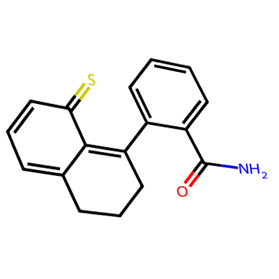 NC(=O)c1ccccc1C1=C2C(=S)C=CC=C2CCC1